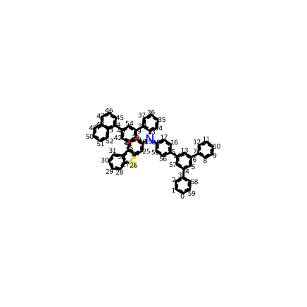 c1ccc(-c2cc(-c3ccccc3)cc(-c3ccc(N(c4ccc5c(c4)sc4ccccc45)c4ccccc4-c4cccc(-c5cccc6ccccc56)c4)cc3)c2)cc1